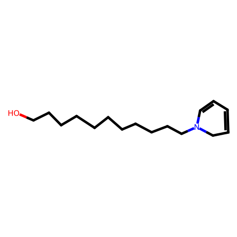 OCCCCCCCCCCCN1C=CC=CC1